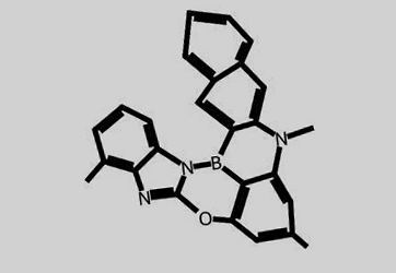 Cc1cc2c3c(c1)N(C)c1cc4ccccc4cc1B3n1c(nc3c(C)cccc31)O2